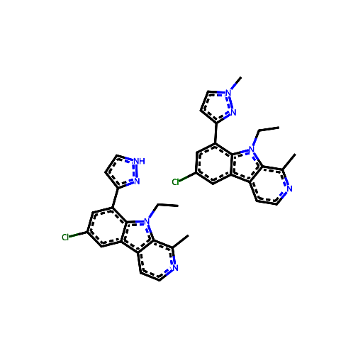 CCn1c2c(-c3cc[nH]n3)cc(Cl)cc2c2ccnc(C)c21.CCn1c2c(-c3ccn(C)n3)cc(Cl)cc2c2ccnc(C)c21